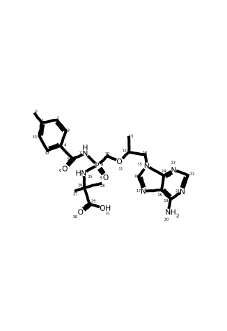 Cc1ccc(C(=O)NP(=O)(COC(C)Cn2cnc3c(N)ncnc32)NC(C)(C)C(=O)O)cc1